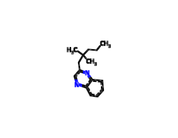 CCCC(C)(C)Cc1cnc2ccccc2n1